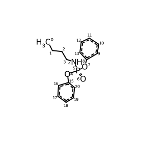 CCCCNP(=O)(Oc1ccccc1)Oc1ccccc1